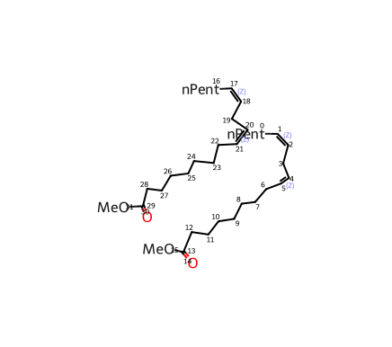 CCCCC/C=C\C/C=C\CCCCCCCC(=O)OC.CCCCC/C=C\C/C=C\CCCCCCCC(=O)OC